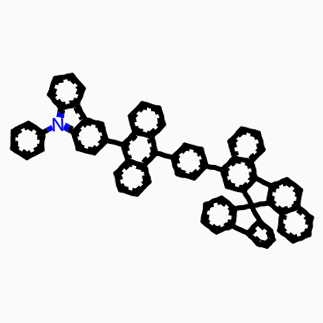 c1ccc(-n2c3ccccc3c3cc(-c4c5ccccc5c(-c5ccc(-c6cc7c(c8ccccc68)-c6ccc8ccccc8c6C76c7ccccc7-c7ccccc76)cc5)c5ccccc45)ccc32)cc1